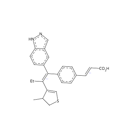 CC/C(C1=CSCC1C)=C(/c1ccc(/C=C/C(=O)O)cc1)c1ccc2[nH]ncc2c1